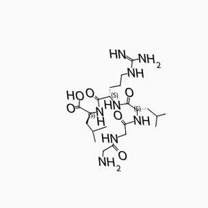 CC(C)C[C@H](NC(=O)[C@H](CCCNC(=N)N)NC(=O)[C@H](CC(C)C)NC(=O)CNC(=O)CN)C(=O)O